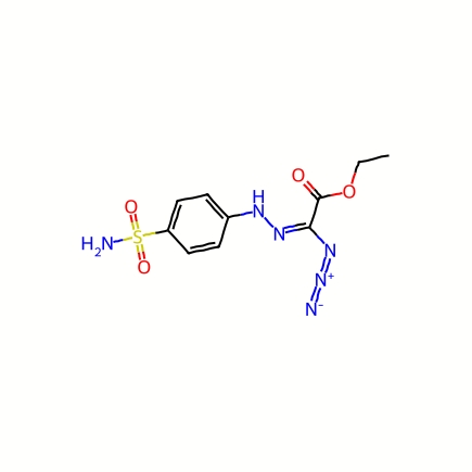 CCOC(=O)/C(N=[N+]=[N-])=N\Nc1ccc(S(N)(=O)=O)cc1